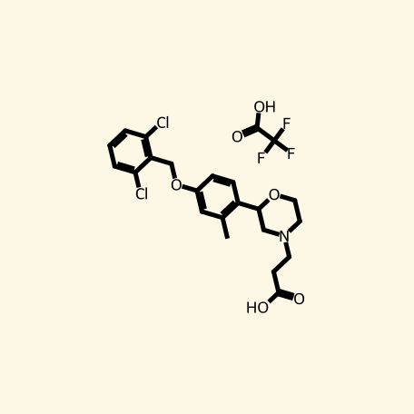 Cc1cc(OCc2c(Cl)cccc2Cl)ccc1C1CN(CCC(=O)O)CCO1.O=C(O)C(F)(F)F